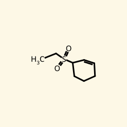 CCS(=O)(=O)C1C=CCCC1